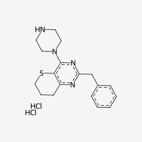 Cl.Cl.c1ccc(Cc2nc3c(c(N4CCNCC4)n2)SCCC3)cc1